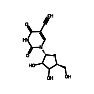 C#Cc1cn([C@@H]2S[C@@H](CO)C(O)C2O)c(=O)[nH]c1=O